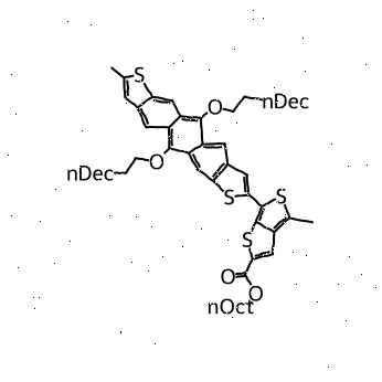 CCCCCCCCCCCCOc1c2cc3cc(-c4sc(C)c5cc(C(=O)OCCCCCCCC)sc45)sc3cc2c(OCCCCCCCCCCCC)c2cc3cc(C)sc3cc12